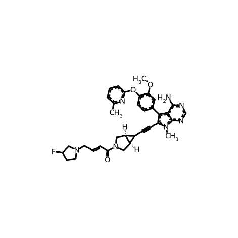 COc1cc(-c2c(C#CC3[C@H]4CN(C(=O)/C=C/CN5CCC(F)C5)C[C@@H]34)n(C)c3ncnc(N)c23)ccc1Oc1cccc(C)n1